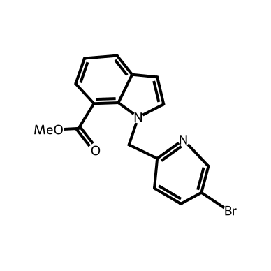 COC(=O)c1cccc2ccn(Cc3ccc(Br)cn3)c12